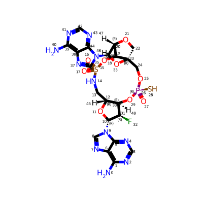 Nc1ncnc2c1ncn2[C@@H]1O[C@@H]2CNS(=O)(=O)O[C@H]3[C@H]4OC[C@]3(CO[P@@](=O)(S)O[C@H]2[C@H]1F)O[C@H]4n1cnc2c(N)ncnc21